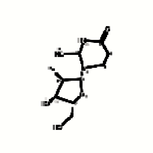 O=C1CCN([C@@H]2O[C@H](CO)[C@@H](O)[C@H]2F)C(O)N1